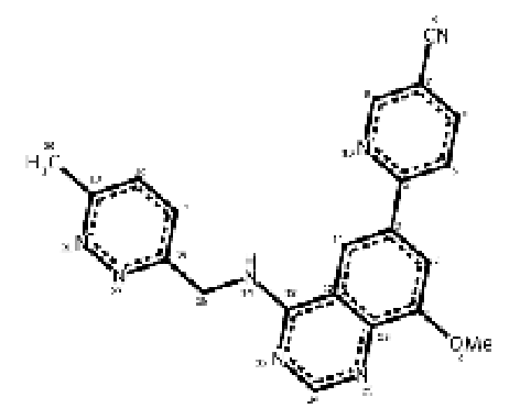 COc1cc(-c2ccc(C#N)cn2)cc2c(NCc3ccc(C)nn3)ncnc12